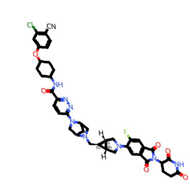 N#Cc1ccc(OC2CCC(NC(=O)c3ccc(N4CC5CC4CN5C[C@H]4[C@@H]5CN(c6cc7c(cc6F)C(=O)N(C6CCC(=O)NC6=O)C7=O)C[C@@H]54)nn3)CC2)cc1Cl